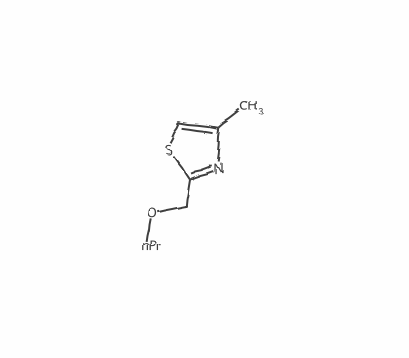 [CH2]CCOCc1nc(C)cs1